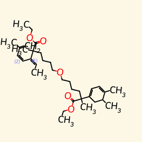 C=C(C)/C=C\C(=C/C)C(C)(CCCCOCCCCC(C)(C(=O)OCC)C1=CC=C(C)C(C)C1)C(=O)OCC